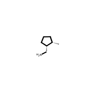 C[C@H]1CCC[C@H]1CN